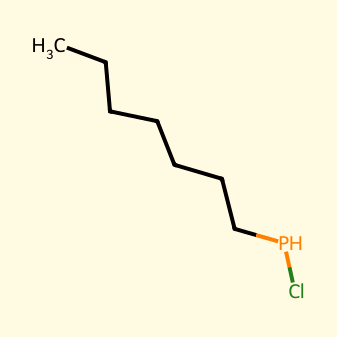 CCCCCCCPCl